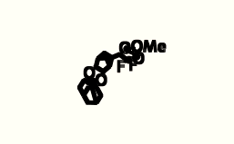 COS(=O)(=O)C(F)(F)CC1CC2CC1C1OC3(OC21)C1CC2CC(C1)CC3C2